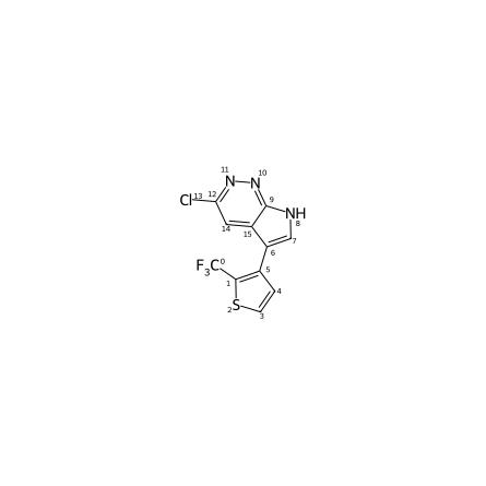 FC(F)(F)c1sccc1-c1c[nH]c2nnc(Cl)cc12